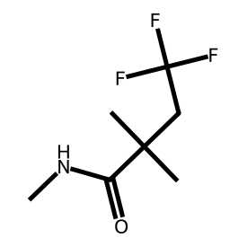 CNC(=O)C(C)(C)CC(F)(F)F